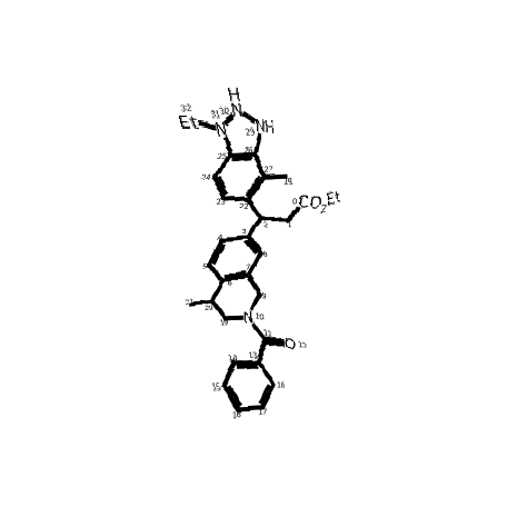 CCOC(=O)CC(c1ccc2c(c1)CN(C(=O)c1ccccc1)CC2C)c1ccc2c(c1C)NNN2CC